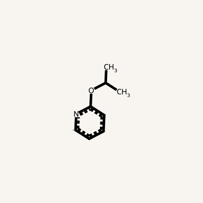 CC(C)Oc1ccc[c]n1